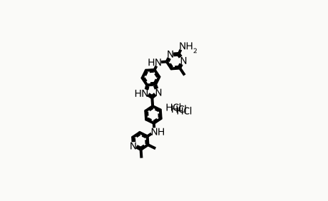 Cc1cc(Nc2ccc3[nH]c(-c4ccc(Nc5ccnc(C)c5C)cc4)nc3c2)nc(N)n1.Cl.Cl.Cl